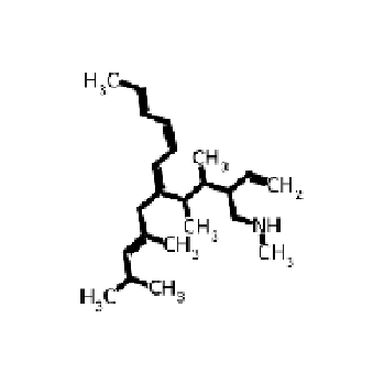 C=CC(CNC)C(C)C(C)\C(=C/C=C\C=C\C)C/C(C)=C/C(C)C